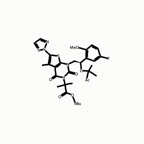 CCCCOC(=O)C(C)(C)n1c(=O)c2c(C)c(-n3nccn3)sc2n(C[C@H](OC(C)(C)C(C)=O)c2cc(F)ccc2OC)c1=O